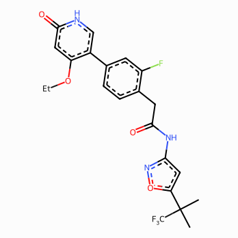 CCOc1cc(=O)[nH]cc1-c1ccc(CC(=O)Nc2cc(C(C)(C)C(F)(F)F)on2)c(F)c1